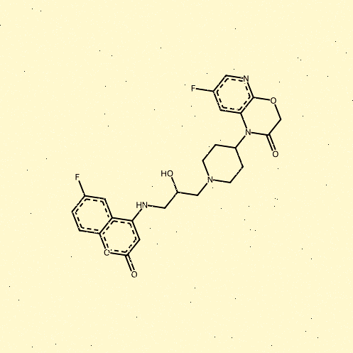 O=C1COc2ncc(F)cc2N1C1CCN(CC(O)CNc2cc(=O)oc3ccc(F)cc23)CC1